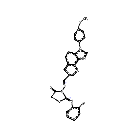 CC(C)c1ccccc1/N=C1\SCC(=O)N1/N=C/c1cnc2c(ccc3c2ncn3-c2ccc(OC(F)(F)F)cc2)c1